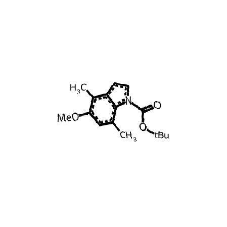 COc1cc(C)c2c(ccn2C(=O)OC(C)(C)C)c1C